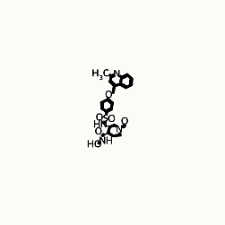 Cc1cc(COc2ccc(S(=O)(=O)N[C@@H]3CN(C=O)CC[C@H]3C(=O)NO)cc2)c2ccccc2n1